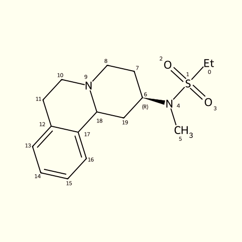 CCS(=O)(=O)N(C)[C@@H]1CCN2CCc3ccccc3C2C1